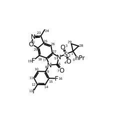 CCCC1(S(=O)(=O)n2c(=O)n(-c3ccc(I)cc3F)c3c(F)c4onc(C)c4cc32)CC1